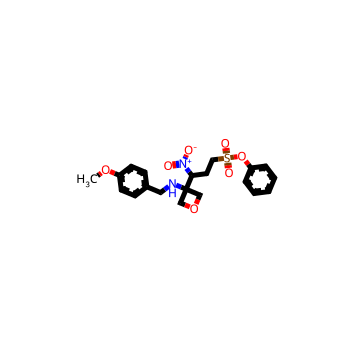 COc1ccc(CNC2(C(CCS(=O)(=O)Oc3ccccc3)[N+](=O)[O-])COC2)cc1